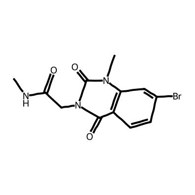 CNC(=O)Cn1c(=O)c2ccc(Br)cc2n(C)c1=O